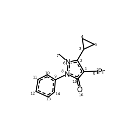 CC(C)c1c(C2CC2)n(C)n(-c2ccccc2)c1=O